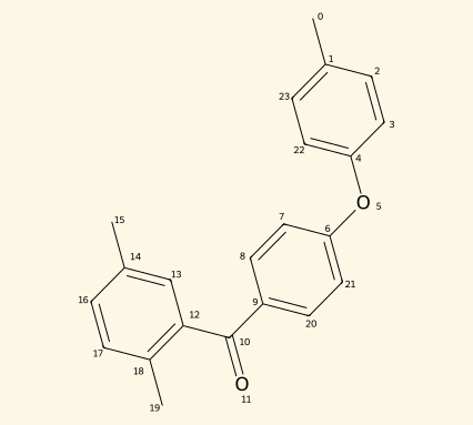 Cc1ccc(Oc2ccc(C(=O)c3cc(C)ccc3C)cc2)cc1